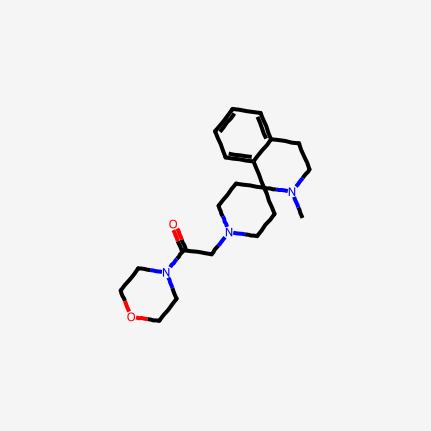 CN1CCc2ccccc2C12CCN(CC(=O)N1CCOCC1)CC2